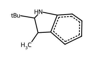 CC1c2ccccc2NC1C(C)(C)C